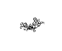 CN(C(=O)NCc1ccc(Cl)c(Cl)c1)N1CC(=O)N2[C@@H](Cc3ccc(O)c(O)c3)C(=O)N(Cc3cccc4ccccc34)C[C@@H]21